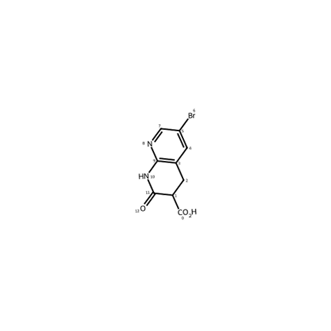 O=C(O)C1Cc2cc(Br)cnc2NC1=O